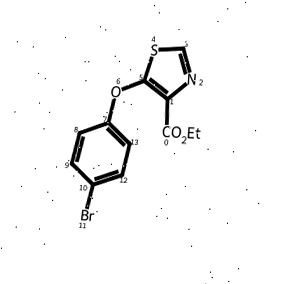 CCOC(=O)c1ncsc1Oc1ccc(Br)cc1